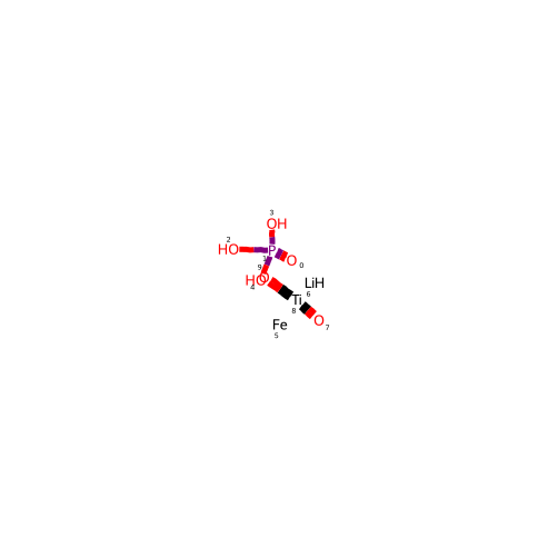 O=P(O)(O)O.[Fe].[LiH].[O]=[Ti]=[O]